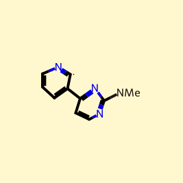 CNc1nccc(-c2[c]nccc2)n1